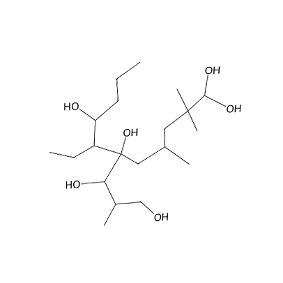 CCCC(O)C(CC)C(O)(CC(C)CC(C)(C)C(O)O)C(O)C(C)CO